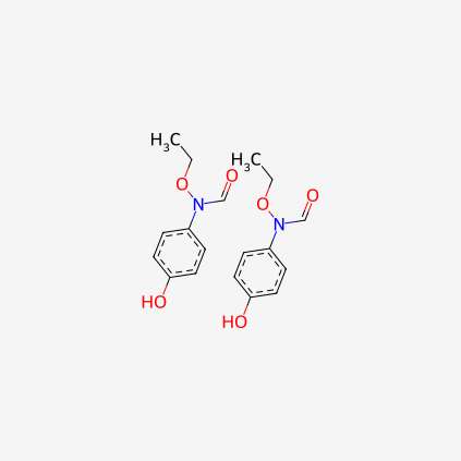 CCON(C=O)c1ccc(O)cc1.CCON(C=O)c1ccc(O)cc1